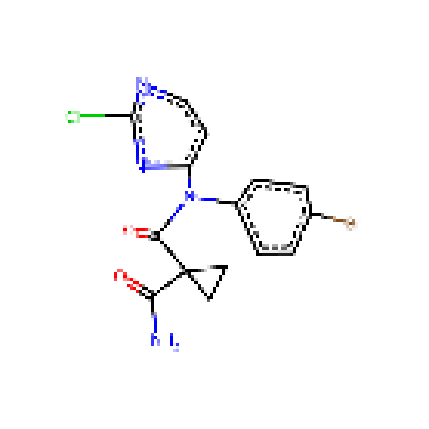 NC(=O)C1(C(=O)N(c2ccc(Br)cc2)c2ccnc(Cl)n2)CC1